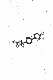 N=NC(=O)NNc1ccc(C2=NNC(=O)CC2)cc1